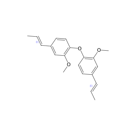 C/C=C/c1ccc(Oc2ccc(/C=C/C)cc2OC)c(OC)c1